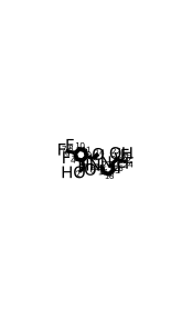 O=C(O)c1cc(C(F)(F)F)ccc1C(=O)Nc1cccc([C@@H](O)C(F)(F)F)n1